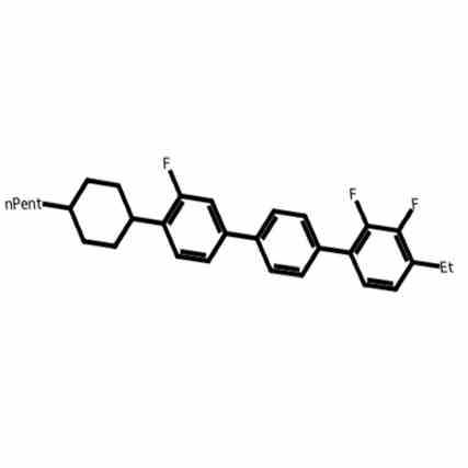 CCCCCC1CCC(c2ccc(-c3ccc(-c4ccc(CC)c(F)c4F)cc3)cc2F)CC1